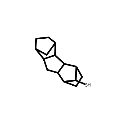 SC1C2CCC1C1C2CC2C3CCC(C3)C21